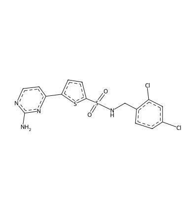 Nc1nccc(-c2ccc(S(=O)(=O)NCc3ccc(Cl)cc3Cl)s2)n1